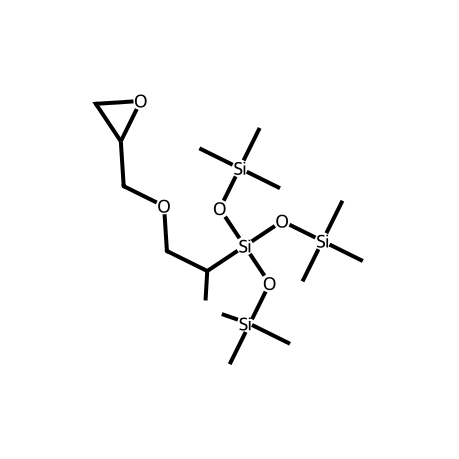 CC(COCC1CO1)[Si](O[Si](C)(C)C)(O[Si](C)(C)C)O[Si](C)(C)C